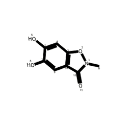 Cn1oc2cc(O)c(O)cc2c1=O